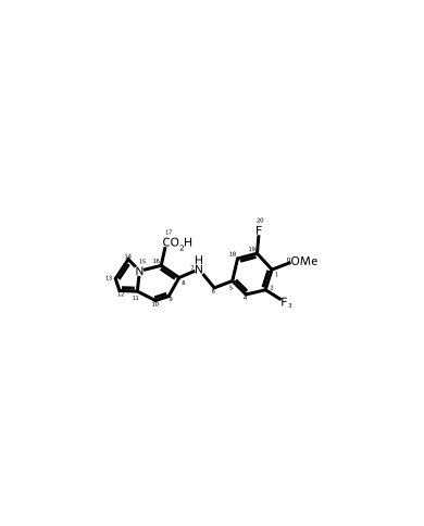 COc1c(F)cc(CNc2ccc3cccn3c2C(=O)O)cc1F